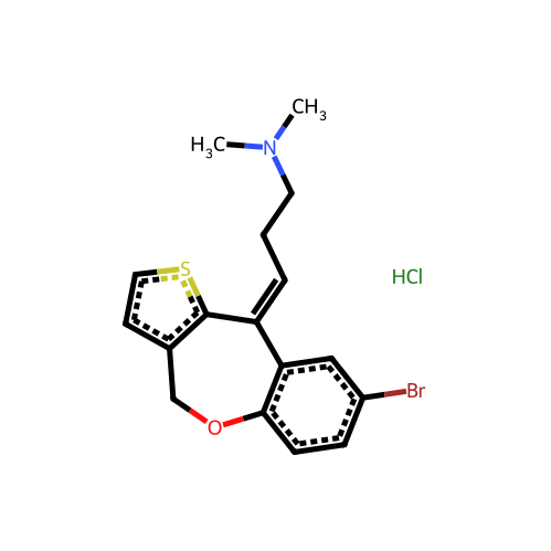 CN(C)CC/C=C1/c2cc(Br)ccc2OCc2ccsc21.Cl